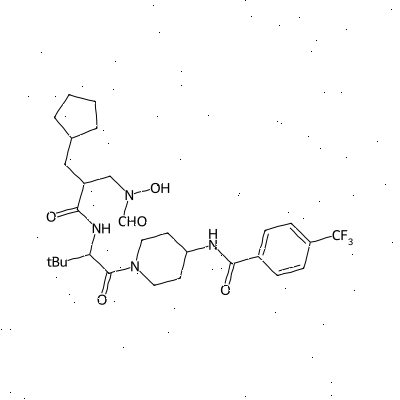 CC(C)(C)C(NC(=O)C(CC1CCCC1)CN(O)C=O)C(=O)N1CCC(NC(=O)c2ccc(C(F)(F)F)cc2)CC1